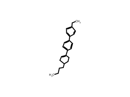 CCCCC1CC=C(c2ccc(-c3ccc(CC)cc3)cc2)CC1